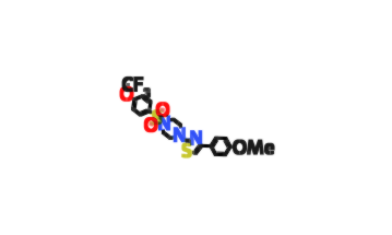 COc1ccc(-c2csc(N3CCN(S(=O)(=O)c4ccc(OC(F)(F)F)cc4)CC3)n2)cc1